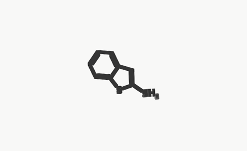 [SiH3]c1cc2ccccc2s1